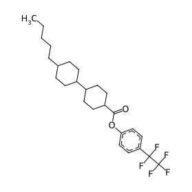 CCCCCC1CCC(C2CCC(C(=O)Oc3ccc(C(F)(F)C(F)(F)F)cc3)CC2)CC1